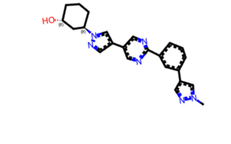 Cn1cc(-c2cccc(-c3ncc(-c4cnn([C@@H]5CCC[C@@H](O)C5)c4)cn3)c2)cn1